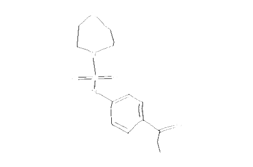 CC(=O)c1ccc(NS(=O)(=O)N2CCSCC2)cc1